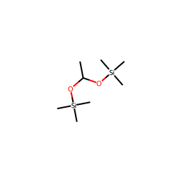 CC(O[Si](C)(C)C)O[Si](C)(C)C